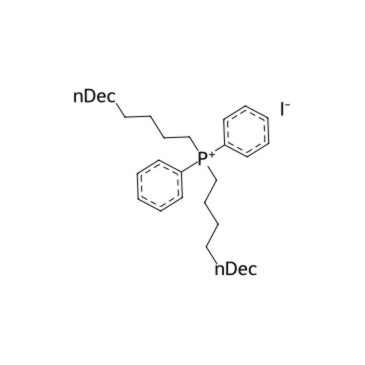 CCCCCCCCCCCCCC[P+](CCCCCCCCCCCCCC)(c1ccccc1)c1ccccc1.[I-]